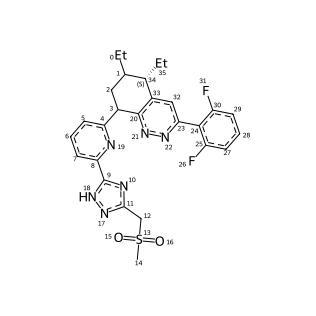 CCC1CC(c2cccc(-c3nc(CS(C)(=O)=O)n[nH]3)n2)c2nnc(-c3c(F)cccc3F)cc2[C@H]1CC